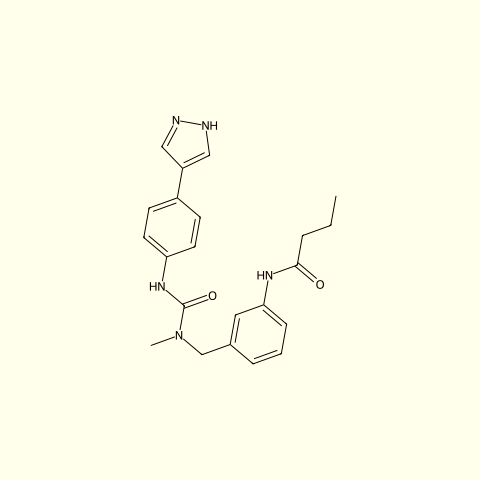 CCCC(=O)Nc1cccc(CN(C)C(=O)Nc2ccc(-c3cn[nH]c3)cc2)c1